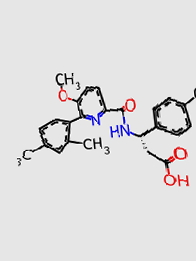 COc1ccc(C(=O)N[C@@H](CC(=O)O)c2ccc(C)cc2)nc1-c1ccc(C)cc1C